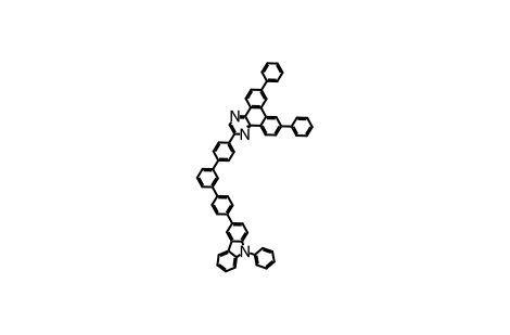 c1ccc(-c2ccc3c(c2)c2cc(-c4ccccc4)ccc2c2nc(-c4ccc(-c5cccc(-c6ccc(-c7ccc8c(c7)c7ccccc7n8-c7ccccc7)cc6)c5)cc4)cnc32)cc1